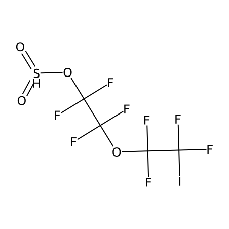 O=[SH](=O)OC(F)(F)C(F)(F)OC(F)(F)C(F)(F)I